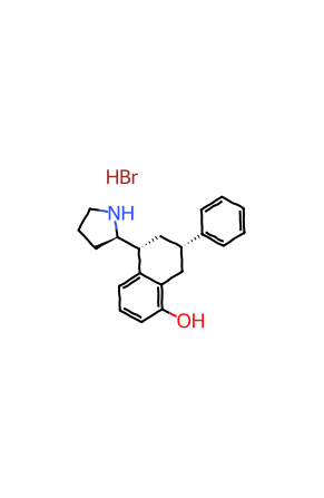 Br.Oc1cccc2c1C[C@@H](c1ccccc1)C[C@H]2[C@H]1CCCN1